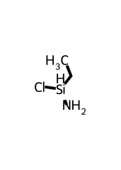 CC[SiH](N)Cl